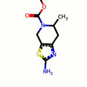 CC1Cc2nc(N)sc2CN1C(=O)OC(C)(C)C